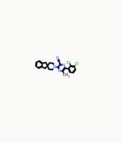 Cc1nc(N2CCC3(CC2)Cc2ccccc2C3)c(C#N)nc1-c1cccc(Cl)c1Cl